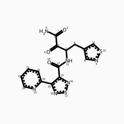 NC(=O)C(=O)C(Cc1cnsc1)NC(=O)c1nsnc1-c1ccccn1